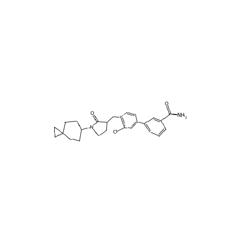 NC(=O)c1cccc(-c2ccc(CC3CCN(C4CCC5(CC4)CC5)C3=O)c(Cl)c2)c1